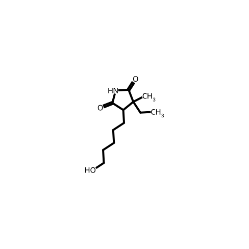 CCC1(C)C(=O)NC(=O)C1CCCCCO